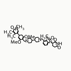 COC1=CC(c2cn(C)c(=O)c(C)c2C)CC(OC)=C1CN1CCC(C2CCN(Cc3cccc4c3n(C)c(=O)n4C3CCC(=O)NC3=O)CC2)CC1